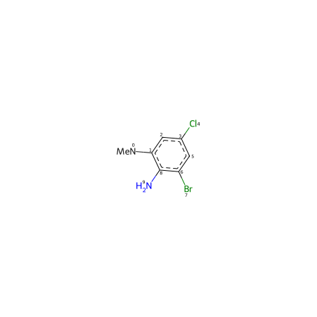 CNc1cc(Cl)cc(Br)c1N